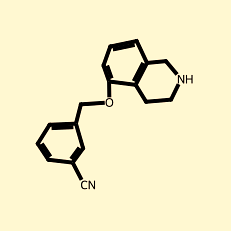 N#Cc1cccc(COc2cccc3c2CCNC3)c1